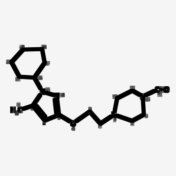 Cc1cc(OCCN2CCN(C=O)CC2)nn1C1CCCCC1